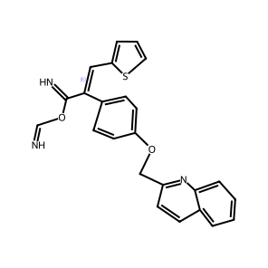 N=COC(=N)/C(=C/c1cccs1)c1ccc(OCc2ccc3ccccc3n2)cc1